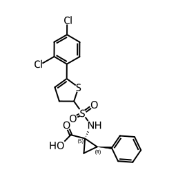 O=C(O)[C@]1(NS(=O)(=O)C2CC=C(c3ccc(Cl)cc3Cl)S2)C[C@@H]1c1ccccc1